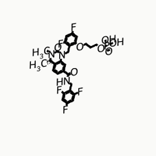 C[C@H]1c2ccc(C(=O)NCc3c(F)cc(F)cc3F)cc2N(Cc2c(F)cc(F)cc2OCCCOP(=O)(O)O)C(=O)N1C